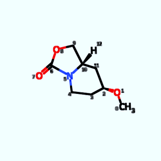 CO[C@H]1CCN2C(=O)OC[C@@H]2C1